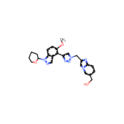 COc1ccc2c(cnn2C2CCCCO2)c1-c1cn(Cc2cn3cc(CO)ccc3n2)nn1